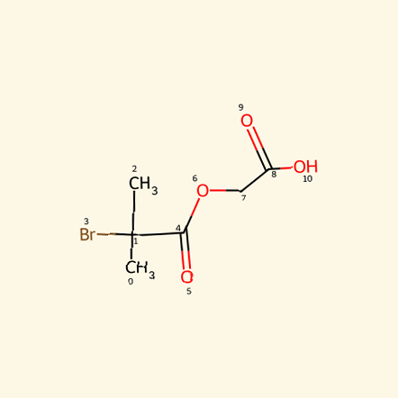 CC(C)(Br)C(=O)OCC(=O)O